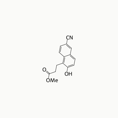 COC(=O)CCc1c(O)ccc2cc(C#N)ccc12